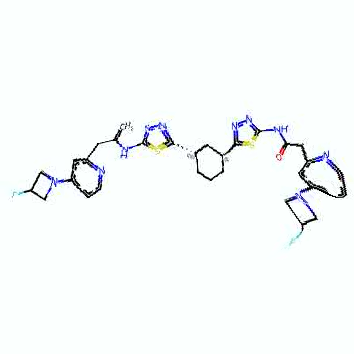 C=C(Cc1cc(N2CC(F)C2)ccn1)Nc1nnc([C@H]2CCC[C@H](c3nnc(NC(=O)Cc4cc(N5CC(F)C5)ccn4)s3)C2)s1